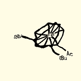 CC(=O)[C]12[CH]3[CH]4[C]5(C(C)(C)C)[CH]1[Fe]34251678[CH]2[CH]1[CH]6[C]7(C(C)(C)C)[CH]28